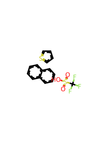 O=S(=O)(O)C(F)(F)F.c1ccc2ccccc2c1.c1ccsc1